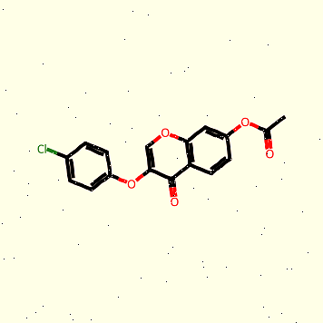 CC(=O)Oc1ccc2c(=O)c(Oc3ccc(Cl)cc3)coc2c1